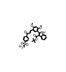 COc1cc(OC)c(-c2[nH]c3ccccc3c2C(=O)OC(C)(C)C)cc1C=CC(=O)c1ccc(S(N)(=O)=O)cc1